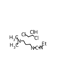 CCN=C=NCCCN(C)C.Cl.ClCCCl